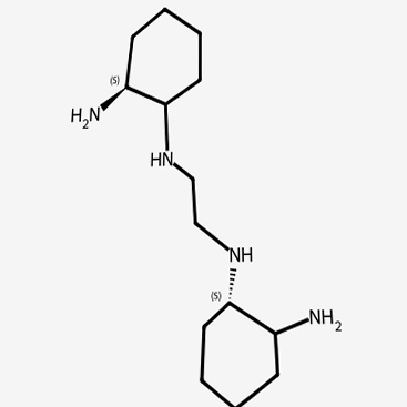 NC1CCCC[C@@H]1NCCNC1CCCC[C@@H]1N